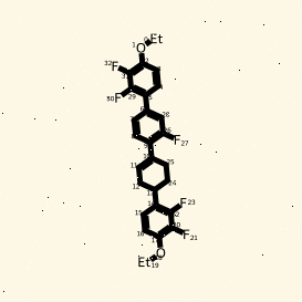 CCOc1ccc(-c2ccc(C3=CCC(c4ccc(OCC)c(F)c4F)CC3)c(F)c2)c(F)c1F